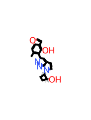 Cc1cc2occc2c(O)c1-c1cc2ccn([C@@H]3CC[C@H]3O)c2nn1